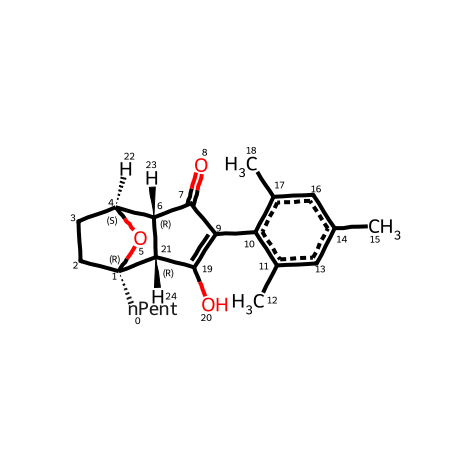 CCCCC[C@]12CC[C@H](O1)[C@@H]1C(=O)C(c3c(C)cc(C)cc3C)=C(O)[C@@H]12